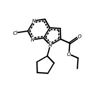 CCOC(=O)c1cc2cnc(Cl)nc2n1C1CCCC1